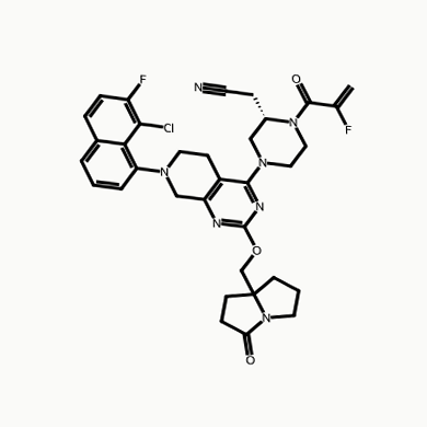 C=C(F)C(=O)N1CCN(c2nc(OCC34CCCN3C(=O)CC4)nc3c2CCN(c2cccc4ccc(F)c(Cl)c24)C3)C[C@@H]1CC#N